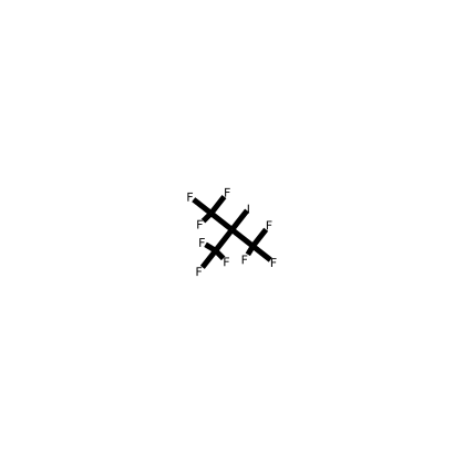 FC(F)(F)C(I)(C(F)(F)F)C(F)(F)F